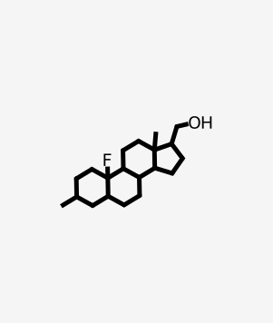 CC1CCC2(F)C(CCC3C4CCC(CO)C4(C)CCC32)C1